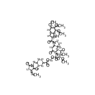 COC(=O)C1(C)C(=O)C2=C(C(=O)C=C3N(C(=O)c4cc5cc(OC)c(OC)c(OC)c5[nH]4)CC4CC324)N1C(=O)OCOC(=O)C1CCC(CN2C(=O)CC(SC)C2=O)CC1